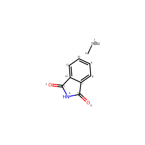 CCCCC.O=C1NC(=O)c2ccccc21